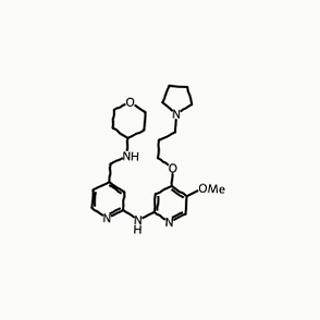 COc1cnc(Nc2cc(CNC3CCOCC3)ccn2)cc1OCCCN1CCCC1